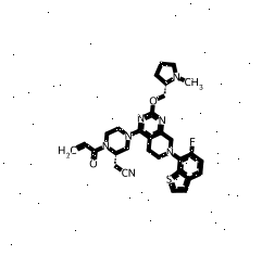 C=CC(=O)N1CCN(c2nc(OC[C@@H]3CCCN3C)nc3c2CCN(c2c(F)ccc4ccsc24)C3)C[C@@H]1CC#N